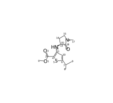 COC(=O)c1sc(C(C)C)cc1N[C@H]1CCN(C)C1=O